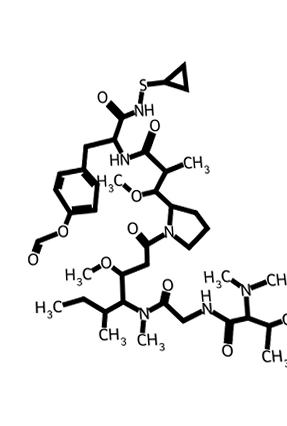 CCC(C)C(C(CC(=O)N1CCCC1C(OC)C(C)C(=O)NC(Cc1ccc(OC=O)cc1)C(=O)NSC1CC1)OC)N(C)C(=O)CNC(=O)C(C(C)C)N(C)C